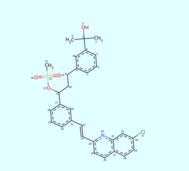 CC(C)(O)c1cccc(CCC(OS(C)(=O)=O)c2cccc(C=Cc3ccc4ccc(Cl)cc4n3)c2)c1